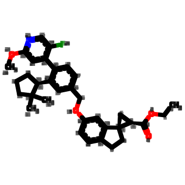 CCOC(=O)[C@@H]1C[C@]12CCc1ccc(OCc3ccc(-c4cc(OC)ncc4F)c([C@@H]4CCCC4(C)C)c3)cc12